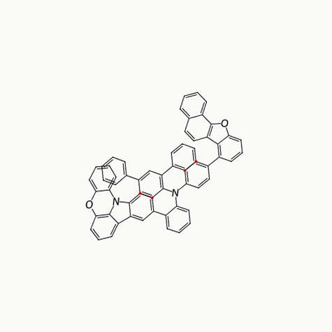 c1ccc(-c2ccc(N(c3ccc(-c4cccc5oc6c7ccccc7ccc6c45)cc3)c3ccccc3-c3ccc4c(c3)c3cccc5c3n4-c3ccccc3O5)c(-c3ccccc3)c2)cc1